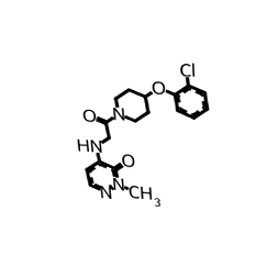 Cn1nccc(NCC(=O)N2CCC(Oc3ccccc3Cl)CC2)c1=O